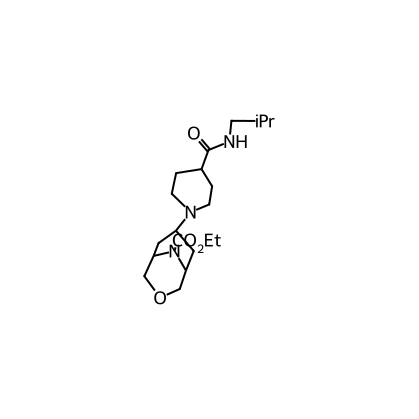 CCOC(=O)N1C2COCC1CC(N1CCC(C(=O)NCC(C)C)CC1)C2